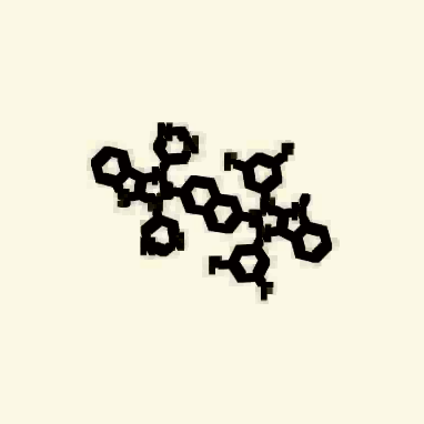 Cn1c2c(c3ccccc31)N(c1cc(F)cc(F)c1)B(c1ccc3cc(B4N(c5cncnc5)c5sc6ccccc6c5N4c4cncnc4)ccc3c1)N2c1cc(F)cc(F)c1